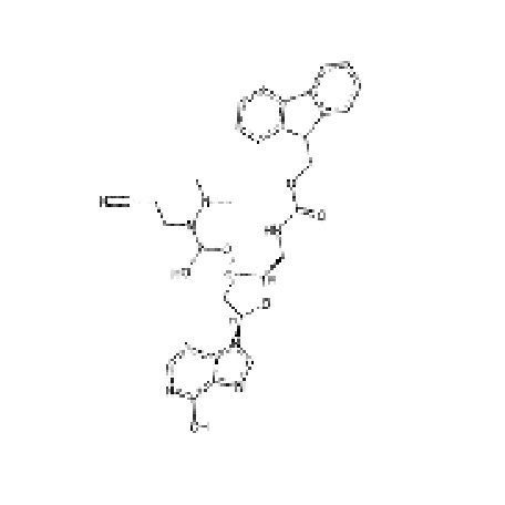 CN(C)N(CCC#N)P(O)O[C@H]1C[C@H](n2cnc3c(O)ncnc32)O[C@@H]1CNC(=O)OCC1c2ccccc2-c2ccccc21